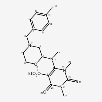 CCOC(=O)c1c(N(C)C2CN(Cc3ccc(F)cc3)CCO2)n(C)c(=S)n(C)c1=O